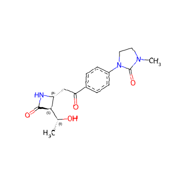 C[C@@H](O)[C@H]1C(=O)N[C@@H]1CC(=O)c1ccc(N2CCN(C)C2=O)cc1